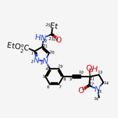 CCOC(=O)c1nn(-c2cccc(C#C[C@]3(O)CCN(C)C3=O)c2)cc1NC(=O)CC